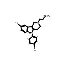 CC(=O)NCCN1CCc2c(c3cc(F)ccc3n2-c2ccc(F)cc2)C1